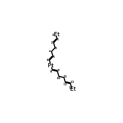 CCC=CCCC=[CH][Pt][CH]=CCCC=CCC